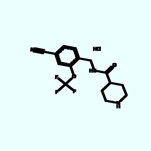 Cl.N#Cc1ccc(CNC(=O)C2CCNCC2)c(OC(F)(F)F)c1